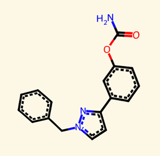 NC(=O)Oc1cccc(-c2ccn(Cc3ccccc3)n2)c1